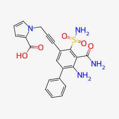 NC(=O)c1c(N)c(-c2ccccc2)cc(C#CCn2cccc2C(=O)O)c1S(N)(=O)=O